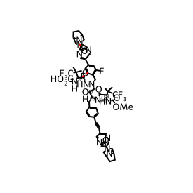 COC(=O)N[C@H](C(=O)N[C@@H](Cc1ccc(C#Cc2cnc(N3CC4CCC(C3)N4C3COC3)nc2)cc1)[C@@H](O)CN(Cc1c(F)cc(-c2cnc(N3CC4CCC(C3)N4C3COC3)nc2)cc1F)NC(=O)[C@@H](NC(=O)O)C(C)(C)C(F)(F)F)C(C)(C)C(F)(F)F